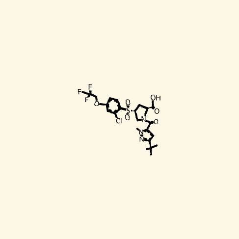 Cn1nc(C(C)(C)C)cc1C(=O)N1C[C@H](S(=O)(=O)c2ccc(OCC(F)(F)F)cc2Cl)C[C@H]1C(=O)O